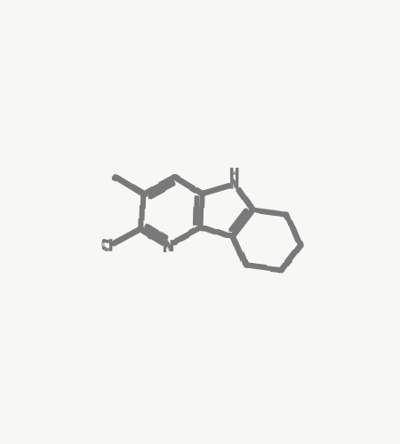 Cc1cc2[nH]c3c(c2nc1Cl)CCCC3